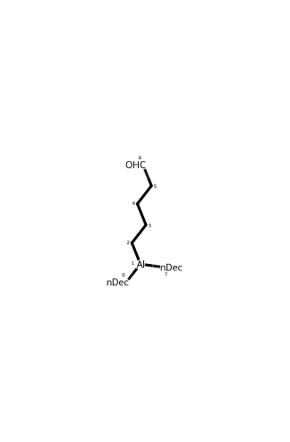 CCCCCCCCC[CH2][Al]([CH2]CCCC=O)[CH2]CCCCCCCCC